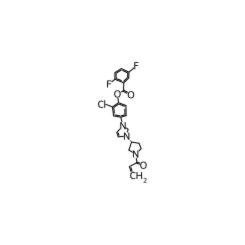 C=CC(=O)N1CC[C@@H](N2C=CN(c3ccc(OC(=O)c4cc(F)ccc4F)c(Cl)c3)C2)C1